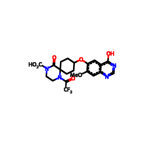 COc1cc2ncnc(O)c2cc1OC1CCC2(CC1)C(=O)N(C(=O)O)CCN2C(=O)C(F)(F)F